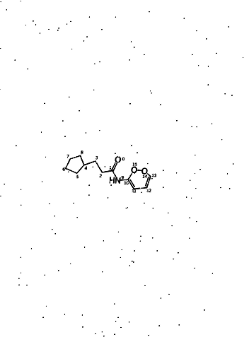 O=C(CCC1CCCC1)NC1=CC=COO1